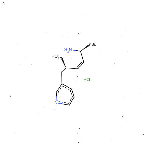 CCCC[C@H](N)/C=C\[C@@H](Cc1cccnc1)C(=O)O.Cl